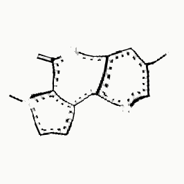 Cn1ccc2c3ncc(Cl)cc3[nH]c(=O)c21